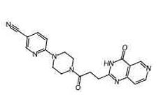 N#Cc1ccc(N2CCN(C(=O)CCc3nc4ccncc4c(=O)[nH]3)CC2)nc1